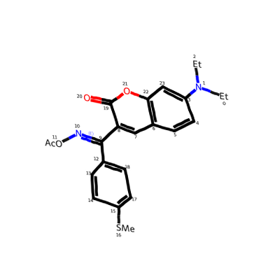 CCN(CC)c1ccc2cc(/C(=N/OC(C)=O)c3ccc(SC)cc3)c(=O)oc2c1